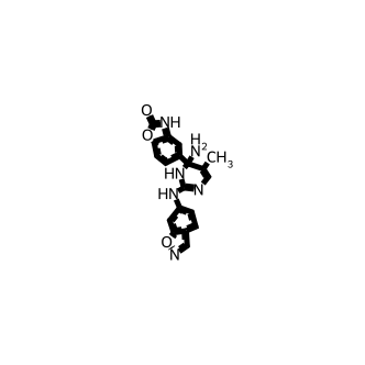 CC1=CN=C(Nc2ccc3cnoc3c2)NC1(N)c1ccc2oc(=O)[nH]c2c1